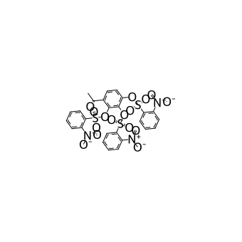 CC(=O)c1ccc(OS(=O)(=O)c2ccccc2[N+](=O)[O-])c(OS(=O)(=O)c2ccccc2[N+](=O)[O-])c1OS(=O)(=O)c1ccccc1[N+](=O)[O-]